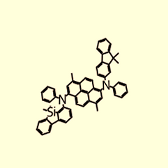 Cc1cc(N(c2ccccc2)c2ccc3c(c2)C(C)(C)c2ccccc2-3)c2ccc3c(C)cc(N(c4ccccc4)c4cccc5c4[Si](C)(C)c4ccccc4-5)c4ccc1c2c34